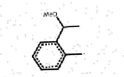 [CH2]c1ccccc1C(C)OC